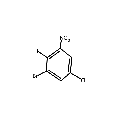 O=[N+]([O-])c1cc(Cl)cc(Br)c1I